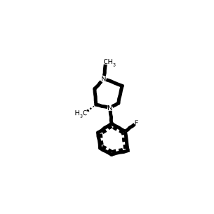 C[C@@H]1CN(C)CCN1c1ccccc1F